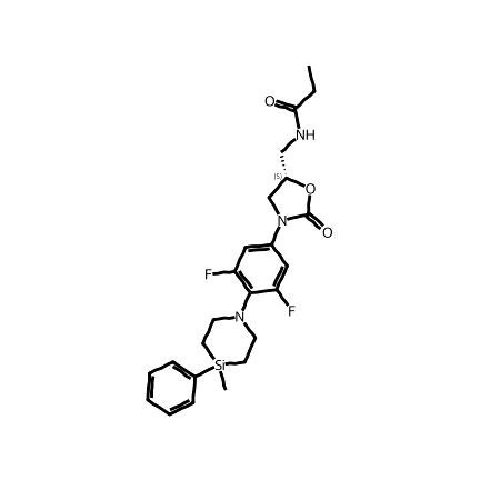 CCC(=O)NC[C@H]1CN(c2cc(F)c(N3CC[Si](C)(c4ccccc4)CC3)c(F)c2)C(=O)O1